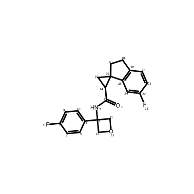 O=C(NC1(c2ccc(F)cc2)COC1)C1CC12CCc1ccc(F)cc12